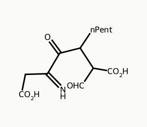 CCCCCC(C(=O)C(=N)CC(=O)O)C(C=O)C(=O)O